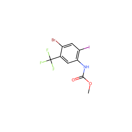 COC(=O)Nc1cc(C(F)(F)F)c(Br)cc1I